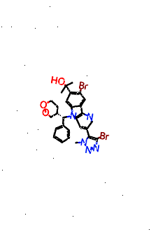 Cn1nnc(Br)c1-c1cnc2c3cc(Br)c(C(C)(C)O)cc3n([C@H](c3ccccc3)C3CCOOC3)c2c1